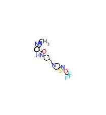 Cn1cc2c(C(=O)N[C@H]3CC[C@H](CCN4CCc5nc(OCC(F)(F)F)sc5CC4)CC3)cccc2n1